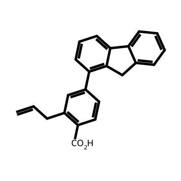 C=CCc1cc(-c2cccc3c2Cc2ccccc2-3)ccc1C(=O)O